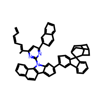 C=C/C=C\C=C(/C)c1cc(-c2ccc3ccccc3c2)nc(-n2c3cc(-c4ccc5c(c4)-c4ccccc4C54C5CC6CC(C5)CC4C6)ccc3c3ccc4ccccc4c32)n1